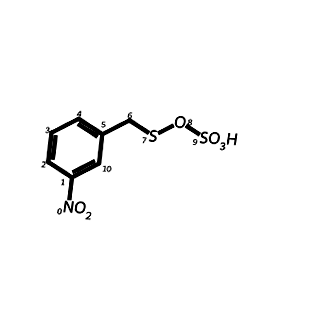 O=[N+]([O-])c1cccc(CSOS(=O)(=O)O)c1